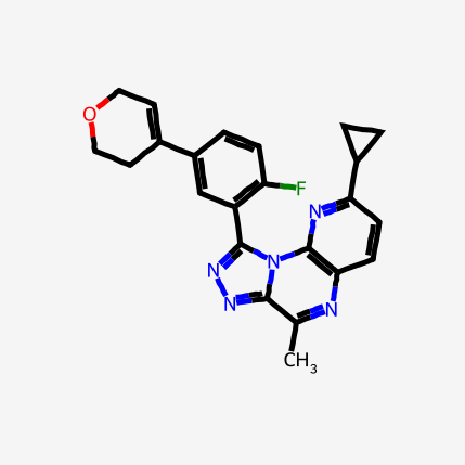 Cc1nc2ccc(C3CC3)nc2n2c(-c3cc(C4=CCOCC4)ccc3F)nnc12